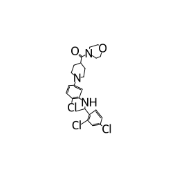 CC(Nc1cc(N2CCC(C(=O)N3CCOCC3)CC2)ccc1Cl)c1ccc(Cl)cc1Cl